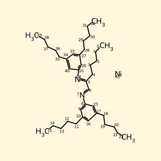 CCCCCC(C=Nc1cc(CCCCC)cc(CCCCC)c1)=Nc1cc(CCCCC)cc(CCCCC)c1.[Ni]